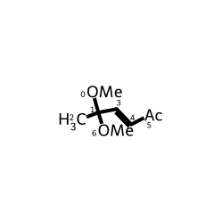 COC(C)(C=CC(C)=O)OC